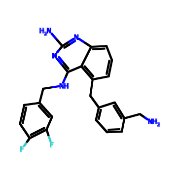 NCc1cccc(Cc2cccc3nc(N)nc(NCc4ccc(F)c(F)c4)c23)c1